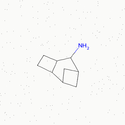 NC1C2CC(C2)C2CCC12